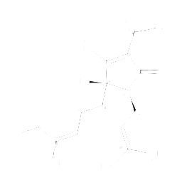 CCC(C)C(=O)C1=C(O)[C@@](O)(CCC=C(C)CO)[C@H](CC=C(C)C)C1=O